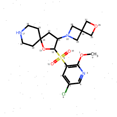 COc1ncc(Cl)cc1S(=O)(=O)C1OC2(CCNCC2)CC1N1CC2(COC2)C1